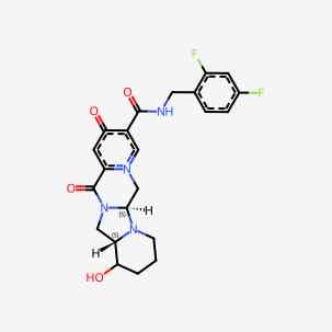 O=C(NCc1ccc(F)cc1F)c1cn2c(cc1=O)C(=O)N1C[C@H]3C(O)CCCN3[C@@H]1C2